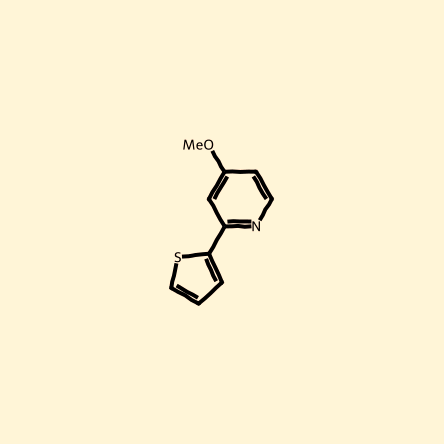 COc1ccnc(-c2cccs2)c1